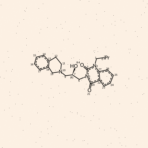 CC(C)Cn1c(=O)n(C[C@H](O)CN2CCc3ccccc3C2)c(=O)c2ccccc21